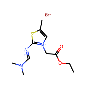 CCOC(=O)C[n+]1cc(C)sc1/N=C/N(C)C.[Br-]